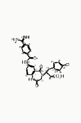 N=C(N)c1ccc(C(=O)Nc2ccc3c(c2)C(=O)N(C(CC(=O)O)Cc2ccc(Cl)cc2)CC(=O)N3)cc1